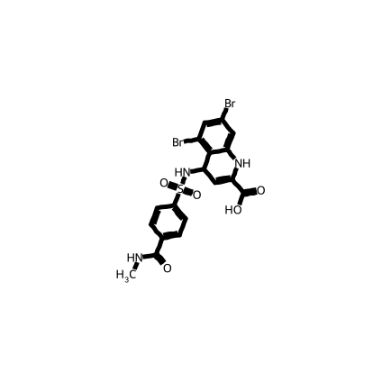 CNC(=O)c1ccc(S(=O)(=O)NC2C=C(C(=O)O)Nc3cc(Br)cc(Br)c32)cc1